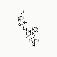 CCCc1nnc(NC(=O)C2CN(c3cc(C)c4c(=O)c(C(=O)O)cn(-c5nccs5)c4n3)C2)s1